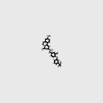 COc1ccc2c(c1)CCn1c-2cc(NCc2ccc(Oc3cccc(C(F)(F)F)c3)c(F)c2)nc1=O